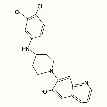 [O]c1cc2cccnc2cc1N1CCC(Nc2ccc(Cl)c(Cl)c2)CC1